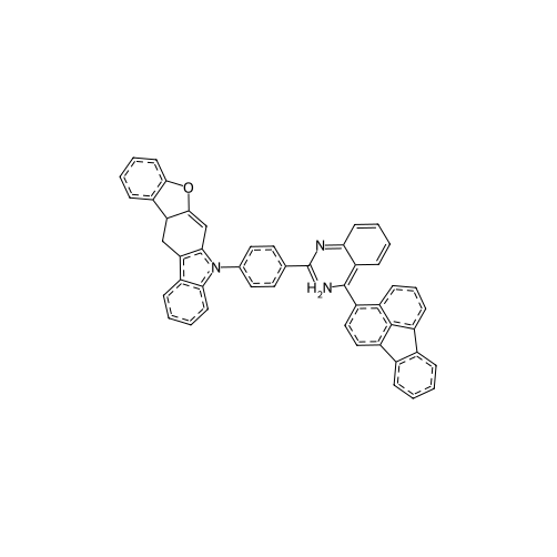 C=C(/N=C1/C=CC=C/C1=C(/N)c1ccc2c3c(cccc13)-c1ccccc1-2)c1ccc(-n2c3c(c4ccccc42)CC2C(=C3)Oc3ccccc32)cc1